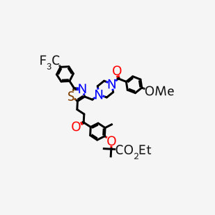 CCOC(=O)C(C)(C)Oc1ccc(C(=O)CCc2sc(-c3ccc(C(F)(F)F)cc3)nc2CN2CCN(C(=O)c3ccc(OC)cc3)CC2)cc1C